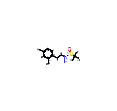 Cc1ccc(CCN[S+]([O-])C(C)(C)C)c(C)c1